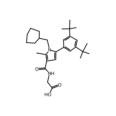 Cc1c(C(=O)NCC(=O)O)cc(-c2cc(C(C)(C)C)cc(C(C)(C)C)c2)n1CC1CCCCC1